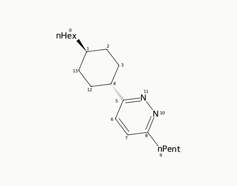 CCCCCC[C@H]1CC[C@H](c2ccc(CCCCC)nn2)CC1